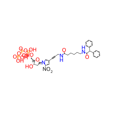 O=C(CCCCCNC(=O)C(c1ccccc1)c1ccccc1)NCC#Cc1cc([N+](=O)[O-])n([C@H]2CC(O)[C@@H](COP(=O)(O)OP(=O)(O)OP(=O)(O)O)O2)c1